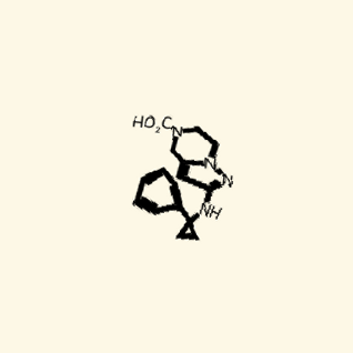 O=C(O)N1CCn2nc(NC3(c4ccccc4)CC3)cc2C1